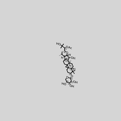 CC(=O)O[C@@H]([C@H]1C[C@@H](C)[C@H]2[C@H](O1)[C@H](O)[C@@]1(C)[C@@H]3CC[C@@H]4C(C)(C)[C@@H](O[C@@H]5OC[C@@H](O)[C@H](O)[C@H]5O)CCC45C[C@@]35CC[C@]21C)C(C)(C)O